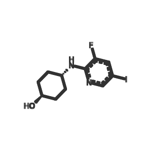 O[C@H]1CC[C@H](Nc2ncc(I)cc2F)CC1